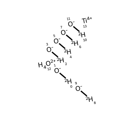 [2H][O-].[2H][O-].[2H][O-].[2H][O-].[2H][O-].[2H][O-].[OH4+2].[Ti+4]